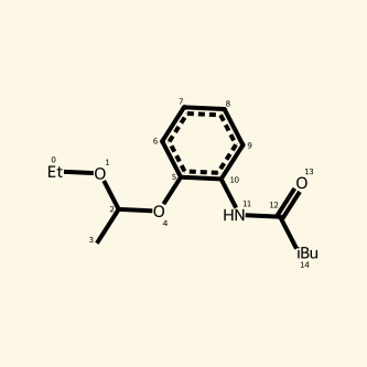 CCOC(C)Oc1ccccc1NC(=O)C(C)CC